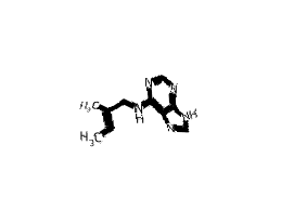 CC=C(C)CNc1ncnc2[nH]cnc12